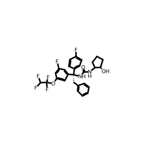 O=C(NC1CCC[C@H]1O)N[C@](Cc1ccccc1)(c1ccc(F)cc1)c1cc(F)cc(OC(F)(F)C(F)F)c1